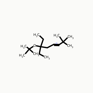 CCC(CC)(C/C=C/C(C)(C)C)OC(C)(C)C